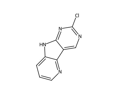 Clc1ncc2c(n1)[nH]c1cccnc12